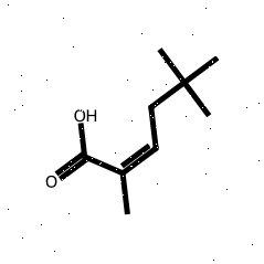 CC(=CCC(C)(C)C)C(=O)O